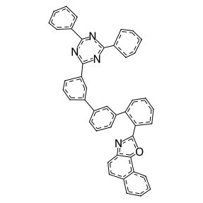 c1ccc(-c2nc(-c3ccccc3)nc(-c3cccc(-c4cccc(-c5ccccc5-c5nc6ccc7ccccc7c6o5)c4)c3)n2)cc1